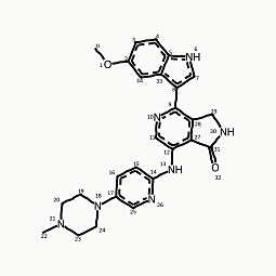 COc1ccc2[nH]cc(-c3ncc(Nc4ccc(N5CCN(C)CC5)cn4)c4c3CNC4=O)c2c1